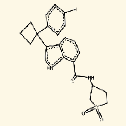 O=C(NC1CCS(=O)(=O)C1)c1cccc2c(C3(c4ccc(I)cc4)CCC3)c[nH]c12